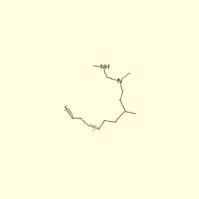 CNCN(C)CCC(C)CC/C=C\CC=S